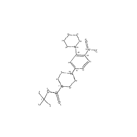 CC(C)(C)OC(=O)N1CCN(c2ccc([N+](=O)[O-])c(N3CCCCC3)c2)CC1